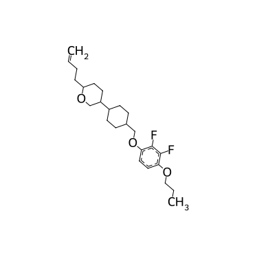 C=CCCC1CCC(C2CCC(COc3ccc(OCCC)c(F)c3F)CC2)CO1